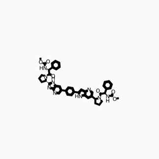 COC(=O)N[C@@H](C(=O)N1CCCC1c1cnc2cc(-c3ccc(-c4cnc5nc([C@@H]6CCCN6C(=O)[C@H](NC(=O)OC)c6ccccc6)[nH]c5c4)cc3)[nH]c2c1)c1ccccc1